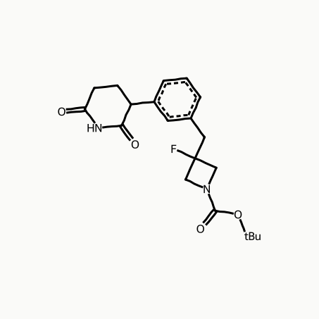 CC(C)(C)OC(=O)N1CC(F)(Cc2cccc(C3CCC(=O)NC3=O)c2)C1